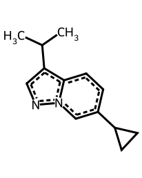 CC(C)c1cnn2cc(C3CC3)ccc12